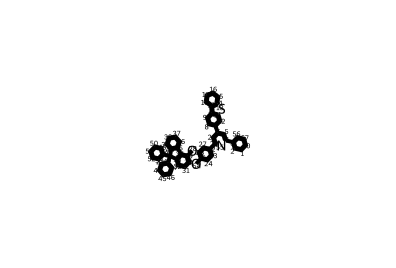 c1ccc(-c2cc(-c3ccc4c(c3)sc3ccccc34)cc(-c3ccc4c(c3)Oc3c(ccc5c3-c3ccccc3C5(c3ccccc3)c3ccccc3)O4)n2)cc1